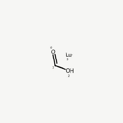 O=CO.[Lu]